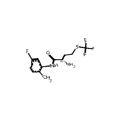 Cc1ccc(F)cc1NC(=O)[C@@H](N)CCSC(F)(F)F